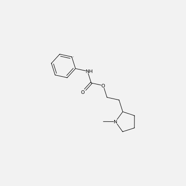 CN1CCCC1CCOC(=O)Nc1[c]cccc1